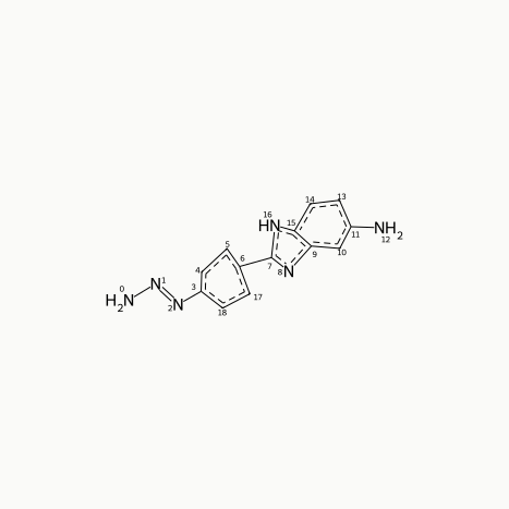 NN=Nc1ccc(-c2nc3cc(N)ccc3[nH]2)cc1